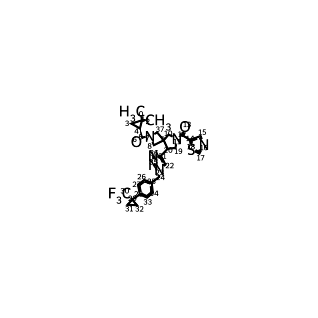 CC1(C)C[C@@H]1C(=O)N1CC2(CN(C(=O)c3cncs3)CC2c2cn(Cc3ccc(C4(C(F)(F)F)CC4)cc3)nn2)C1